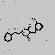 CCC[C@@]1(CCc2ccccc2)CC(=O)/C(=C/c2cccc([N+](=O)[O-])c2)C(=O)O1